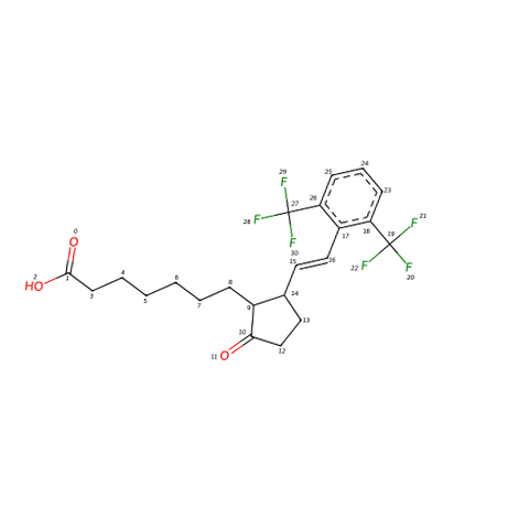 O=C(O)CCCCCCC1C(=O)CCC1C=Cc1c(C(F)(F)F)cccc1C(F)(F)F